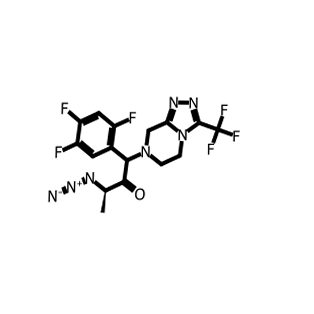 C[C@@H](N=[N+]=[N-])C(=O)C(c1cc(F)c(F)cc1F)N1CCn2c(nnc2C(F)(F)F)C1